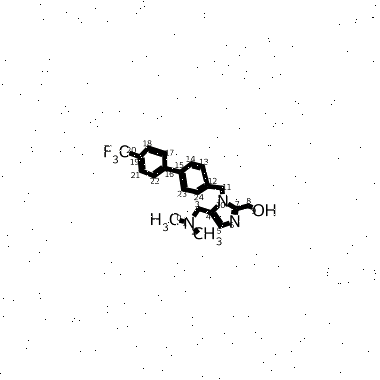 CN(C)Cc1cnc(CO)n1Cc1ccc(-c2ccc(C(F)(F)F)cc2)cc1